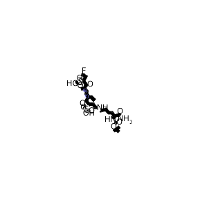 C=C/C(=C\C=C(/C)C(=O)C(CCF)S(=O)(=O)O)C(=O)C(CCNCCCCC(NC(=O)OC(C)(C)C)C(N)=O)S(=O)(=O)O